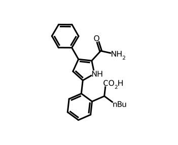 CCCCC(C(=O)O)c1ccccc1-c1cc(-c2ccccc2)c(C(N)=O)[nH]1